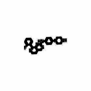 Fc1ccccc1-c1nccc2cnc(Nc3ccc(N4CCNCC4)cc3)nc12